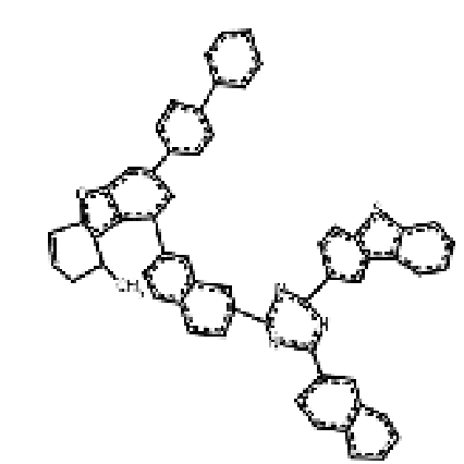 CC1CC=Cc2oc3cc(-c4ccc(-c5ccccc5)cc4)cc(-c4ccc5ccc(-c6nc(-c7ccc8ccccc8c7)nc(-c7ccc8sc9ccccc9c8c7)n6)cc5c4)c3c21